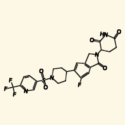 O=C1CCC(N2Cc3cc(C4CCN(S(=O)(=O)c5ccc(C(F)(F)F)nc5)CC4)c(F)cc3C2=O)C(=O)N1